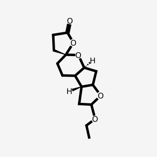 CCOC1C[C@H]2C(C[C@@H]3O[C@]4(CCC(=O)O4)CCC23)O1